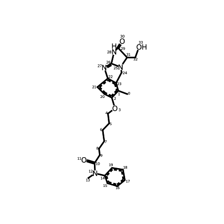 Cc1c(OCCCCCCC(=O)N(C)c2ccccc2)ccc2c1CN1C(=N2)NC(=O)C1CO